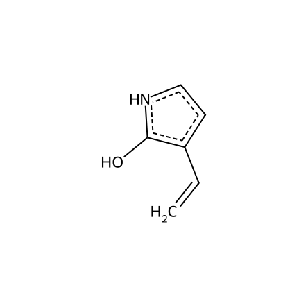 C=Cc1cc[nH]c1O